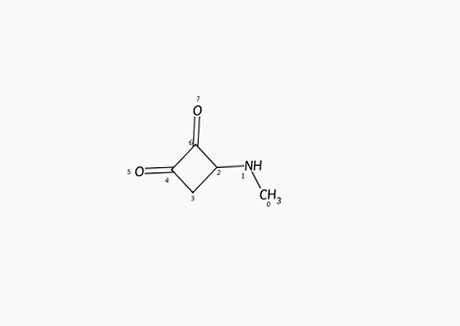 CNC1CC(=O)C1=O